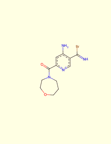 N=C(Br)c1cnc(C(=O)N2CCCOCC2)cc1N